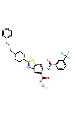 COC(=O)c1cc2nc(C3CCC(COCc4ccccc4)CC3)sc2cc1NC(=O)c1cccc(C(F)(F)F)c1